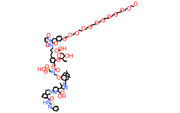 C=CC1C(Oc2cc(CCCCNC(=O)C(Cc3ccc(OCCOCCOCCOCCOCCOCCOCCOCCOCCOCCOCCOC)cc3)N3C(=O)C=CC3=O)ccc2COC(=O)N(CCOC23CC4(Cn5ncc(-c6ccc(N7CCc8cccc(C(=O)Nc9nc%10ccccc%10s9)c8C7)nc6C(=O)O)c5C)CC5(C)CC(C)(C2)C5(C4)C3)CCS(=O)(=O)O)O[C@H](C(=O)O)C[C@@H]1O